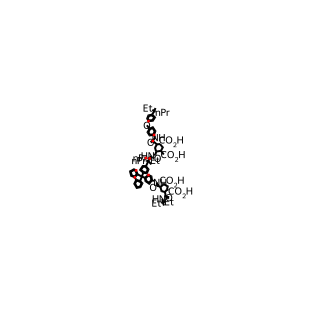 CCCC(C)(CC)c1ccc(Oc2ccc(NC(=O)C3CC(C(=O)NC(CC)(CCC)C(C)(CCC)c4ccc(C5(c6ccc(NC(=O)C7CC(C(=O)NC(C)(CC)CC)C(C(=O)O)CC7C(=O)O)cc6)c6ccccc6-c6ccccc65)cc4)C(C(=O)O)CC3C(=O)O)cc2)cc1